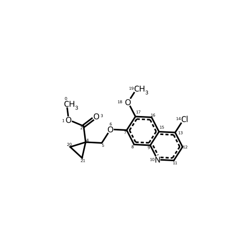 COC(=O)C1(COc2cc3nccc(Cl)c3cc2OC)CC1